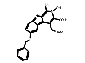 CCC(C)c1c2nc3ccc(OCc4ccccc4)cc3c-2c(COC)c(C(=O)O)n1O